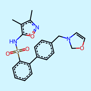 Cc1noc(NS(=O)(=O)c2ccccc2-c2ccc(CN3C=COC3)cc2)c1C